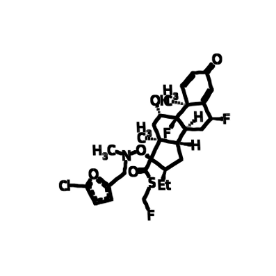 CC[C@@H]1C[C@H]2[C@@H]3C[C@H](F)C4=CC(=O)C=C[C@]4(C)[C@@]3(F)[C@@H](O)C[C@]2(C)[C@@]1(ON(C)Cc1ccc(Cl)o1)C(=O)SCF